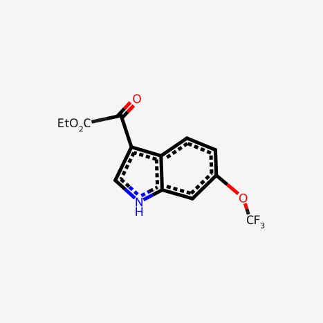 CCOC(=O)C(=O)c1c[nH]c2cc(OC(F)(F)F)ccc12